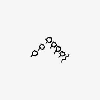 CCCCCC.Cc1ccccc1.Cc1ccccc1.Cc1ccccc1.Cc1ccccc1.Cc1ccccc1.Cc1ccccc1